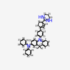 CC1(C)c2ccccc2N(c2ccc(C34CCC(C5NCCCN5)(CC3)C4)cc2)c2ccc(N(c3ccccc3)c3ccccc3)cc21